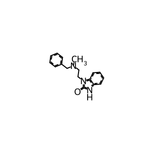 CN(CCn1c(=O)[nH]c2ccccc21)Cc1ccccc1